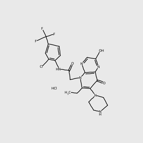 CCc1c(N2CCNCC2)c(=O)c2nc(O)cnc2n1CC(=O)Nc1ccc(C(F)(F)F)cc1Cl.Cl